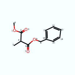 COC(=O)C(C)C(=O)OCc1ccccc1